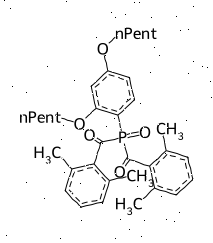 CCCCCOc1ccc(P(=O)(C(=O)c2c(C)cccc2C)C(=O)c2c(C)cccc2C)c(OCCCCC)c1